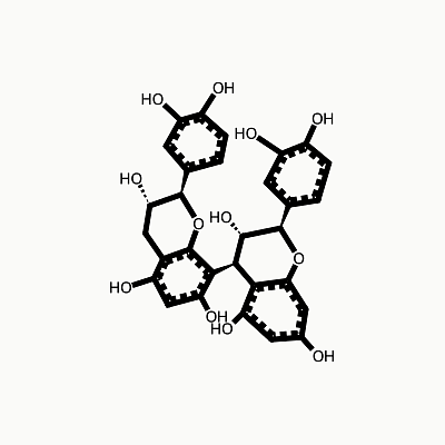 Oc1cc(O)c2c(c1)O[C@H](c1ccc(O)c(O)c1)[C@@H](O)[C@@H]2c1c(O)cc(O)c2c1O[C@H](c1ccc(O)c(O)c1)[C@@H](O)C2